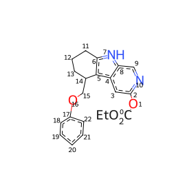 CCOC(=O)Oc1cc2c3c([nH]c2cn1)CCCC3COc1ccccc1